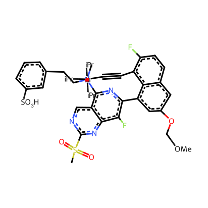 COCOc1cc(-c2nc(N(C)CCc3cccc(S(=O)(=O)O)c3)c3cnc(S(C)(=O)=O)nc3c2F)c2c(C#C[Si](C(C)C)(C(C)C)C(C)C)c(F)ccc2c1